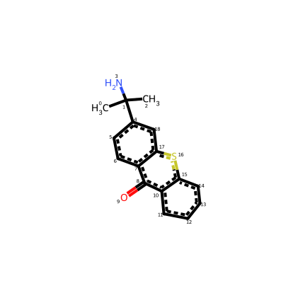 CC(C)(N)c1ccc2c(=O)c3ccccc3sc2c1